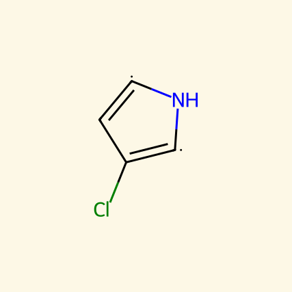 Clc1[c][nH][c]c1